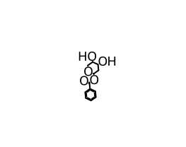 O=C(O[C@@H]1C[C@H](O)[C@H](O)CO1)c1ccccc1